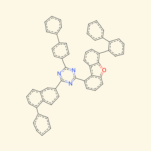 c1ccc(-c2ccc(-c3nc(-c4ccc5c(-c6ccccc6)cccc5c4)nc(-c4cccc5oc6c(-c7ccccc7-c7ccccc7)cccc6c45)n3)cc2)cc1